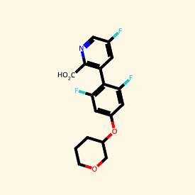 O=C(O)c1ncc(F)cc1-c1c(F)cc(OC2CCCOC2)cc1F